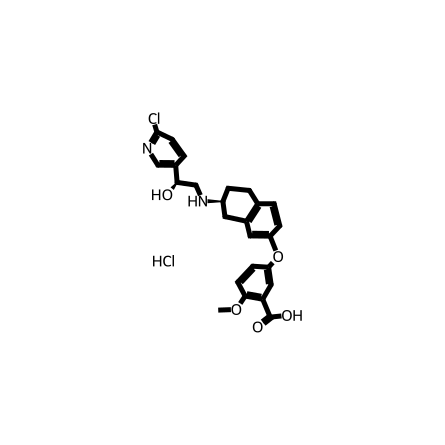 COc1ccc(Oc2ccc3c(c2)C[C@@H](NC[C@@H](O)c2ccc(Cl)nc2)CC3)cc1C(=O)O.Cl